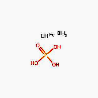 O=P(O)(O)O.[BiH3].[Fe].[LiH]